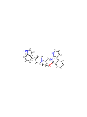 CC(CN(C(=O)C1CCCCC1)c1ccccn1)N1CC=C(c2cccc3[nH]ccc23)CC1